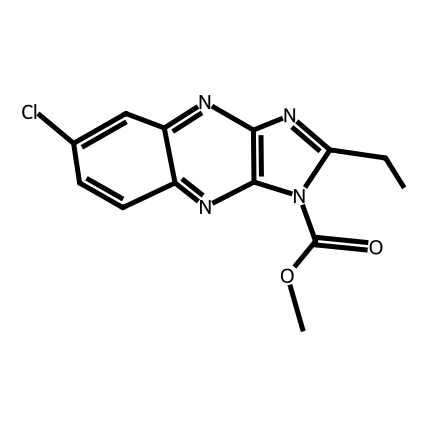 CCc1nc2nc3cc(Cl)ccc3nc2n1C(=O)OC